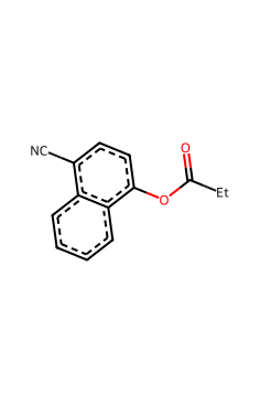 CCC(=O)Oc1ccc(C#N)c2ccccc12